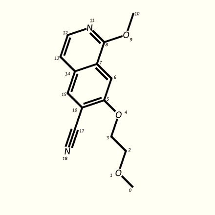 COCCOc1cc2c(OC)nccc2cc1C#N